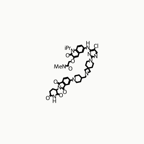 CNC(=O)COc1cc2cc(Nc3nc(N4CCC5(CC4)CN(CC4CCN(c6ccc7c(c6)C(=O)N(C6CCC(=O)NC6=O)C7=O)CC4)C5)ncc3Cl)ccc2n(C(C)C)c1=O